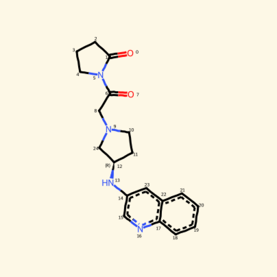 O=C1CCCN1C(=O)CN1CC[C@@H](Nc2cnc3ccccc3c2)C1